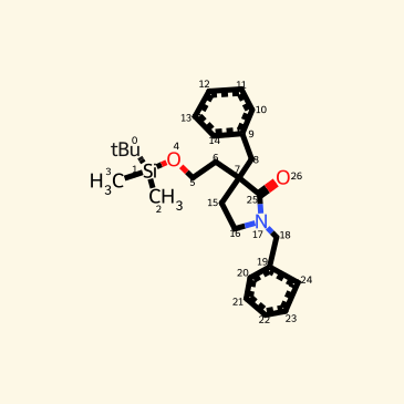 CC(C)(C)[Si](C)(C)OCCC1(Cc2ccccc2)CCN(Cc2ccccc2)C1=O